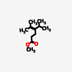 COC(=O)CCC(=C(C)C)C(C)C